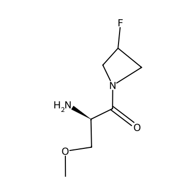 COC[C@@H](N)C(=O)N1CC(F)C1